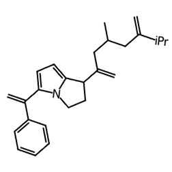 C=C(c1ccccc1)c1ccc2n1CCC2C(=C)CC(C)CC(=C)C(C)C